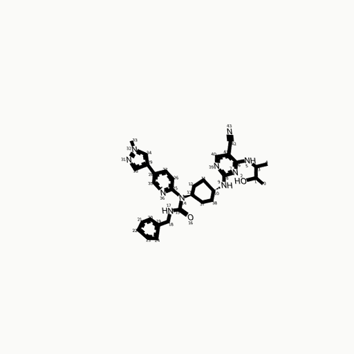 CC(O)C(C)Nc1nc(N[C@H]2CC[C@H](N(C(=O)NCc3ccccc3)c3ccc(-c4cnn(C)c4)cn3)CC2)ncc1C#N